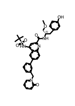 COC[C@H](Cc1ccc(O)cc1)NC(=O)c1cc(NS(=O)(=O)C(C)(C)C)c2cc(-c3cccc(Cn4ccccc4=O)c3)ccc2n1